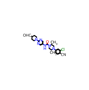 C[C@@H]1CN(C(=O)Nc2cnc(N3CCC(C=O)CC3)nc2)[C@@H](C)CN1c1ccc(C#N)c(Cl)c1